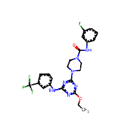 CCOc1nc(Nc2cccc(C(F)(F)F)c2)nc(N2CCN(C(=O)Nc3cccc(F)c3)CC2)n1